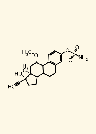 C#C[C@]1(O)CCC2C3CCc4cc(OS(N)(=O)=O)ccc4C3[C@@H](OC)C[C@@]21C